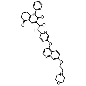 O=C1CCCc2c1cc(C(=O)Nc1ccc(Oc3ccnc4cc(OCCN5CCOCC5)ccc34)cn1)c(=O)n2-c1ccccc1